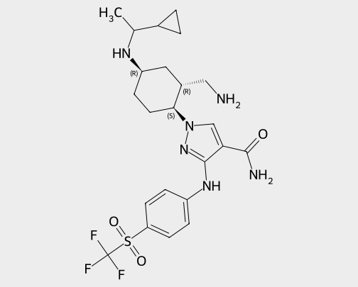 CC(N[C@@H]1CC[C@H](n2cc(C(N)=O)c(Nc3ccc(S(=O)(=O)C(F)(F)F)cc3)n2)[C@@H](CN)C1)C1CC1